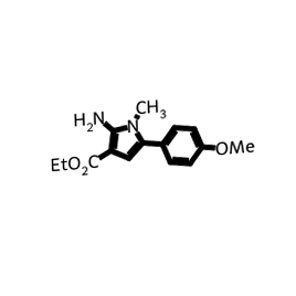 CCOC(=O)c1cc(-c2ccc(OC)cc2)n(C)c1N